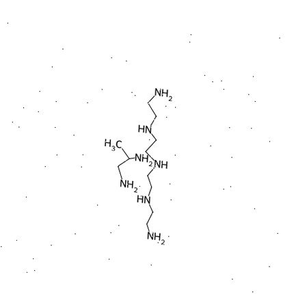 CC(N)CN.NCCNCCNCCNCCN